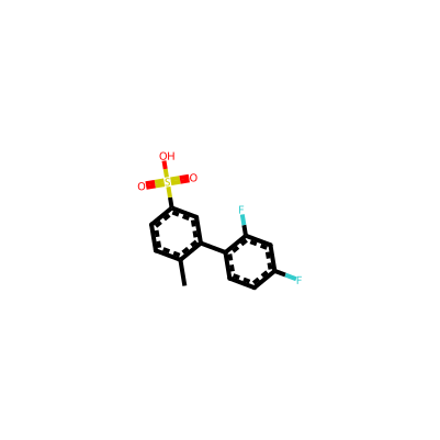 Cc1ccc(S(=O)(=O)O)cc1-c1ccc(F)cc1F